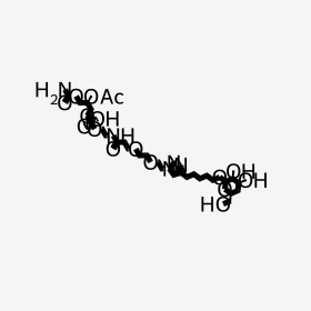 CC(=O)O[C@H](COC(N)=O)COP(=O)(O)OCCNC(=O)CCOCCOCCn1cc(CCCCCOC2O[C@H](CO)C[C@H](O)[C@@H]2O)nn1